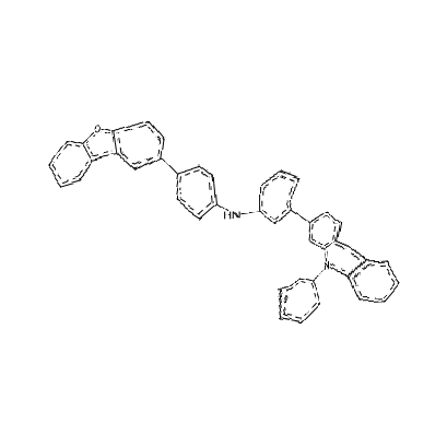 c1ccc(-n2c3ccccc3c3ccc(-c4cccc(Nc5ccc(-c6ccc7oc8ccccc8c7c6)cc5)c4)cc32)cc1